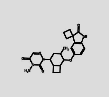 CC1CC(n2ncc(=O)n(N)c2=O)C2CCC2C1Oc1ccc2c(c1)C1(CCC1)C(=O)N2